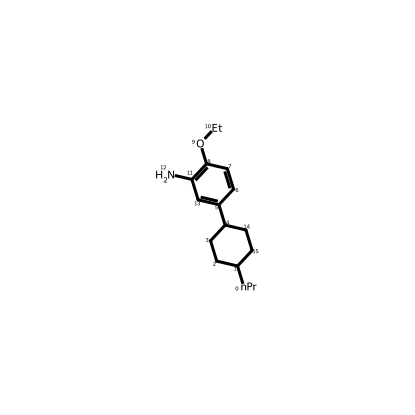 CCCC1CCC(c2ccc(OCC)c(N)c2)CC1